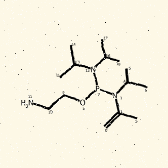 C=C(C)N(C(C)C)P(OCCN)N(C(C)C)C(C)C